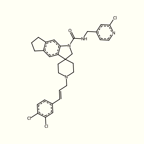 O=C(NCc1ccnc(Cl)c1)N1CC2(CCN(C/C=C/c3ccc(Cl)c(Cl)c3)CC2)c2cc3c(cc21)CCC3